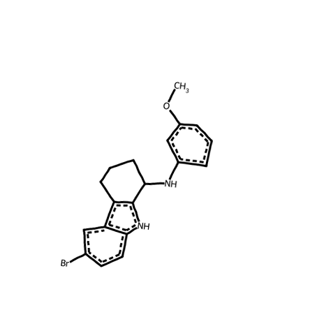 COc1cccc(NC2CCCc3c2[nH]c2ccc(Br)cc32)c1